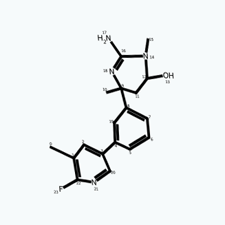 Cc1cc(-c2cccc(C3(C)CC(O)N(C)C(N)=N3)c2)cnc1F